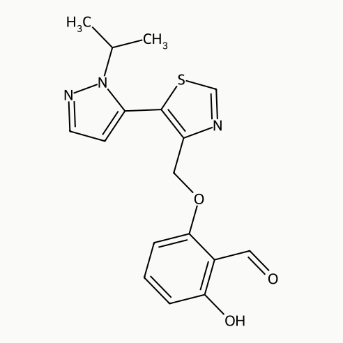 CC(C)n1nccc1-c1scnc1COc1cccc(O)c1C=O